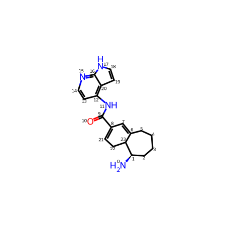 N[C@@H]1CCCCC2=CC(C(=O)Nc3ccnc4[nH]ccc34)=CCC21